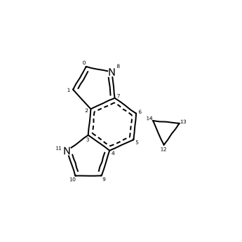 C1=Cc2c3c(ccc2=N1)=CC=N3.C1CC1